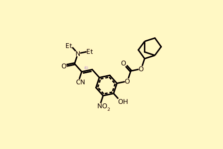 CCN(CC)C(=O)/C(C#N)=C/c1cc(OC(=O)OC2CC3CCC2C3)c(O)c([N+](=O)[O-])c1